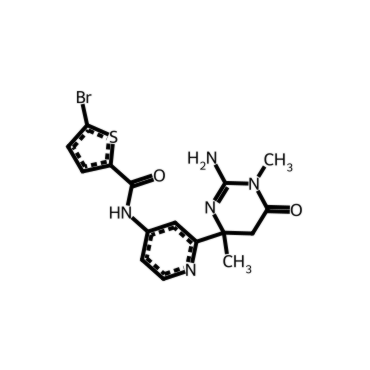 CN1C(=O)CC(C)(c2cc(NC(=O)c3ccc(Br)s3)ccn2)N=C1N